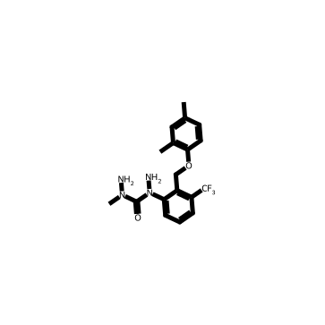 Cc1ccc(OCc2c(N(N)C(=O)N(C)N)cccc2C(F)(F)F)c(C)c1